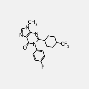 Cn1cnc2c(=O)n(-c3ccc(F)cc3)c(C3CCC(C(F)(F)F)CC3)nc21